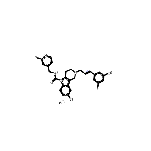 Cl.N#Cc1cc(F)cc(/C=C/CN2CCc3c(c4cc(Cl)ccc4n3C(=O)NCc3ccnc(F)c3)C2)c1